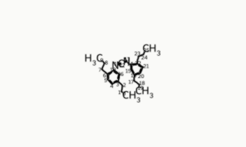 CCCc1ccc(CCC)c(N=C=Nc2cc(CCC)ccc2CCC)c1